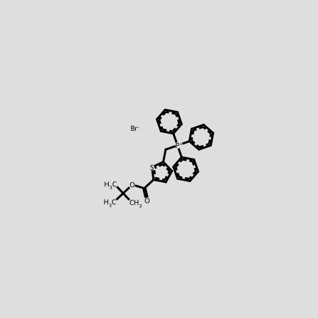 CC(C)(C)OC(=O)c1ccc(C[P+](c2ccccc2)(c2ccccc2)c2ccccc2)s1.[Br-]